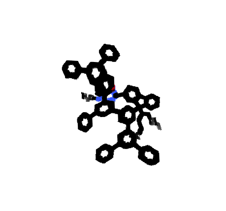 CC/C=C(\CC)C1(c2cc(-c3cc(-c4ccccc4)cc(-c4ccccc4)c3)cc(-c3cc(-c4ccccc4)cc(-c4ccccc4)c3)c2)c2ccccc2-c2ccc(C(=N)/N=C(\NC)c3cc(-c4ccccc4)cc(-c4ccccc4)c3)cc21